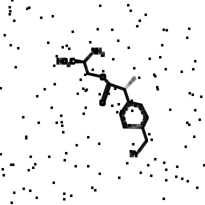 CC(C)Cc1ccc([C@@H](C)C(=O)OC[C@H](N)C(=O)O)cc1